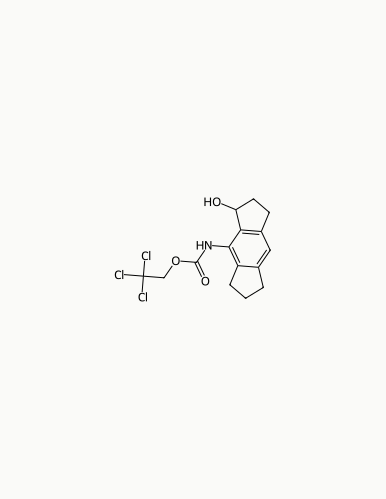 O=C(Nc1c2c(cc3c1C(O)CC3)CCC2)OCC(Cl)(Cl)Cl